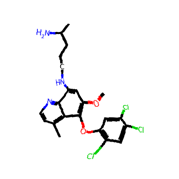 COc1cc(NCCCC(C)N)c2nccc(C)c2c1Oc1cc(Cl)c(Cl)cc1Cl